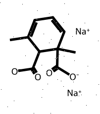 CC1=CC=CC(C)(C(=O)[O-])C1C(=O)[O-].[Na+].[Na+]